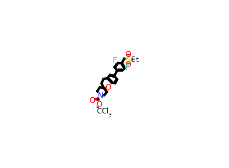 CCS(=O)(=O)Cc1c(F)cc(-c2ccc3c(c2)CCC2(CCN(C(=O)OCC(Cl)(Cl)Cl)CC2)O3)cc1F